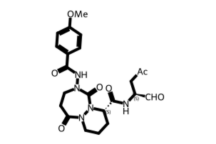 COc1ccc(C(=O)NN2CCC(=O)N3CCC[C@@H](C(=O)N[C@H](C=O)CC(C)=O)N3C2=O)cc1